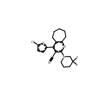 N#Cc1c(N2CCCC(F)(F)C2)nc2c(c1-c1ccc(Cl)s1)CCCCC2